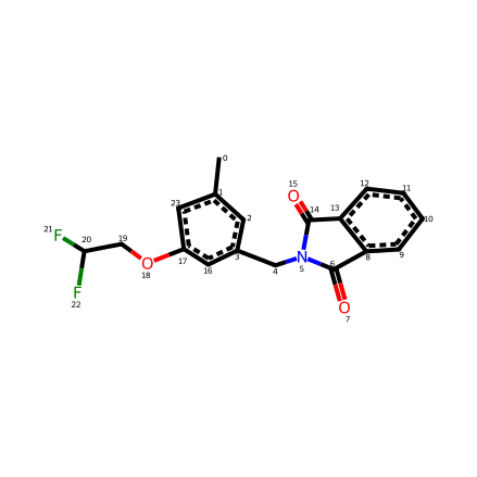 Cc1cc(CN2C(=O)c3ccccc3C2=O)cc(OCC(F)F)c1